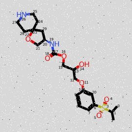 CC(C)S(=O)(=O)c1cccc(OCC(O)COC(=O)N[C@H]2COC3(CCNCC3)C2)c1